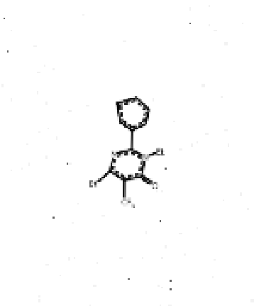 CCc1nc(-c2ccccc2)n(CC)c(=O)c1C(F)(F)F